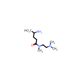 CN(C)CCN(C)C(=O)CCC(N)C(=O)O